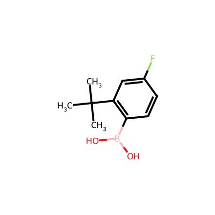 CC(C)(C)c1cc(F)ccc1B(O)O